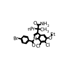 CCCC(C)(C(N)=O)c1cn(C(=O)c2ccc(Br)cc2)c2c(Cl)c(Cl)c(OCC)cc12